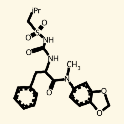 CC(C)CS(=O)(=O)NC(=O)NC(Cc1ccccc1)C(=O)N(C)c1ccc2c(c1)OCO2